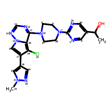 CC(O)c1cnc(N2CCN(c3ncnn4cc(-c5cnn(C)c5)c(Cl)c34)CC2)nc1